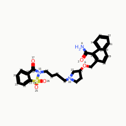 NC(=O)c1c(COC2CCN(CCCCN3C(=O)c4ccccc4S3(=O)=O)C2)ccc2ccccc12